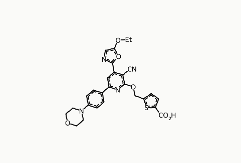 CCOc1cnc(-c2cc(-c3ccc(N4CCOCC4)cc3)nc(OCc3ccc(C(=O)O)s3)c2C#N)o1